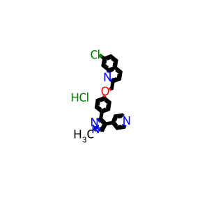 Cl.Cn1cc(-c2ccncc2)c(-c2ccc(OCc3ccc4ccc(Cl)cc4n3)cc2)n1